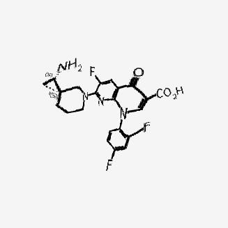 N[C@H]1C[C@]12CCCN(c1nc3c(cc1F)c(=O)c(C(=O)O)cn3-c1ccc(F)cc1F)C2